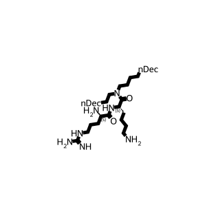 CCCCCCCCCCCCCCN(CCCCCCCCCCCC)C(=O)[C@H](CCCCN)NC(=O)[C@@H](N)CCCNC(=N)N